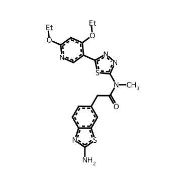 CCOc1cc(OCC)c(-c2nnc(N(C)C(=O)Cc3ccc4nc(N)sc4c3)s2)cn1